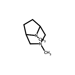 CN1CC2CCC(C1)N2C